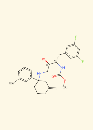 C=C1CCCC(NC[C@@H](O)[C@H](Cc2cc(F)cc(F)c2)NC(=O)OC(C)(C)C)(c2cccc(C(C)(C)C)c2)C1